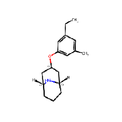 CCc1cc(C)cc(O[C@@H]2C[C@H]3CCC[C@@H](C2)N3)c1